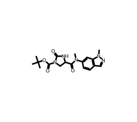 CN(C(=O)C1CN(C(=O)OC(C)(C)C)C(=O)N1)c1ccc2cnn(C)c2c1